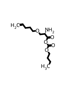 C=CCCCOC[C@H](N)C(=O)OC(=O)OCCCC